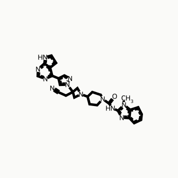 Cn1c(NC(=O)N2CCC(N3CC(CC#N)(n4cc(-c5ncnc6[nH]ccc56)cn4)C3)CC2)nc2ccccc21